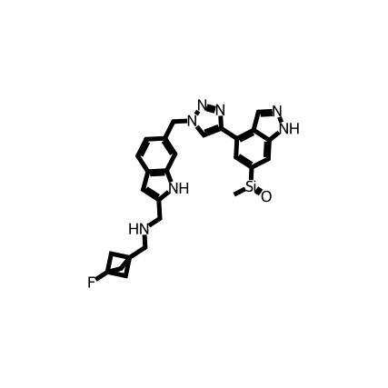 C[Si](=O)c1cc(-c2cn(Cc3ccc4cc(CNCC56CC(F)(C5)C6)[nH]c4c3)nn2)c2cn[nH]c2c1